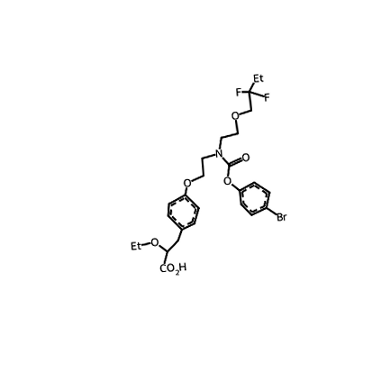 CCOC(Cc1ccc(OCCN(CCOCC(F)(F)CC)C(=O)Oc2ccc(Br)cc2)cc1)C(=O)O